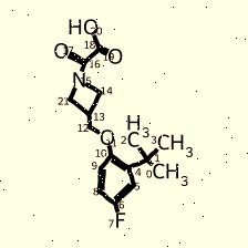 CC(C)(C)c1cc(F)ccc1OCC1CN(C(=O)C(=O)O)C1